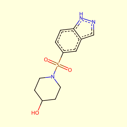 O=S(=O)(c1ccc2[nH]ncc2c1)N1CCC(O)CC1